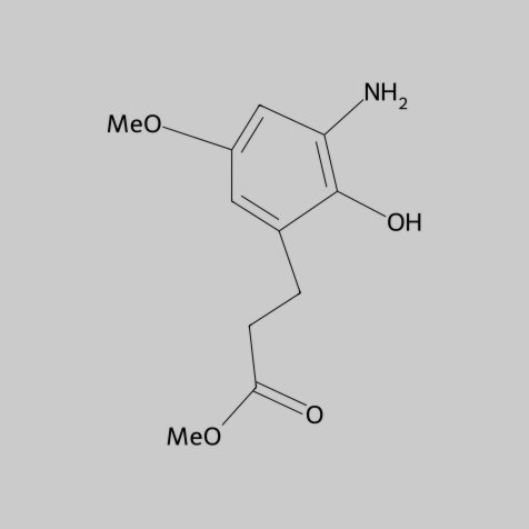 COC(=O)CCc1cc(OC)cc(N)c1O